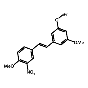 COc1cc(C=Cc2ccc(OC)c([N+](=O)[O-])c2)cc(OC(C)C)c1